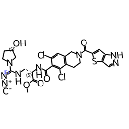 [C-]#[N+]/N=C(\NC[C@H](NC(=O)c1c(Cl)cc2c(c1Cl)CCN(C(=O)c1cc3[nH]ncc3s1)C2)C(=O)OC)N1CC[C@H](O)C1